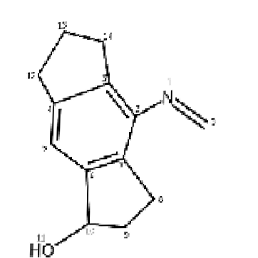 C=Nc1c2c(cc3c1CCC3O)CCC2